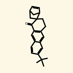 CC(C)(C)c1ccc2cc3c(cc2c1)CCC1(CC2C=CC1C2)C3=O